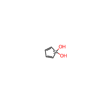 O[Si]1(O)C=CC=C1